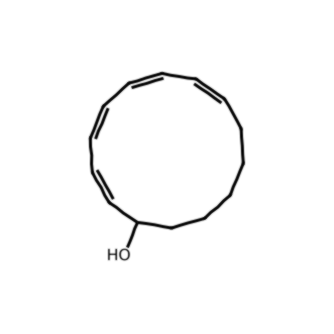 OC1C=CC=CC=CC=CCCCCC1